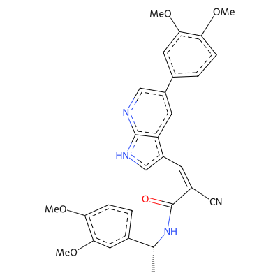 COc1ccc(-c2cnc3[nH]cc(/C=C(/C#N)C(=O)N[C@H](C)c4ccc(OC)c(OC)c4)c3c2)cc1OC